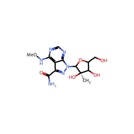 CONc1ncnc2c1c(C(N)=O)nn2C1OC(CO)C(O)[C@@]1(C)O